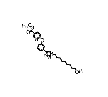 COC(=O)c1ccc(Oc2cccc(-c3cn(CCCCCCCCCO)nn3)c2)nc1